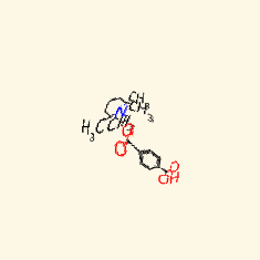 CC1(C)CCCC(C)(C)N1CCOC(=O)c1ccc(C(=O)O)cc1